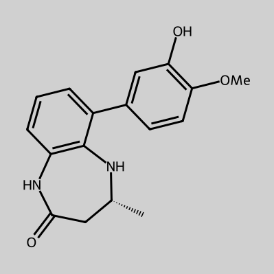 COc1ccc(-c2cccc3c2N[C@H](C)CC(=O)N3)cc1O